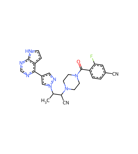 CC(C(C#N)N1CCN(C(=O)c2ccc(C#N)cc2F)CC1)n1cc(-c2ncnc3[nH]ccc23)cn1